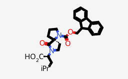 CC(C)C[C@@H](C(=O)O)N1CC[C@@]2(CCCN2C(=O)OCC2c3ccccc3-c3ccccc32)C1=O